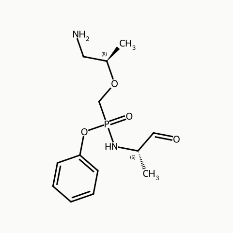 C[C@H](CN)OCP(=O)(N[C@@H](C)C=O)Oc1ccccc1